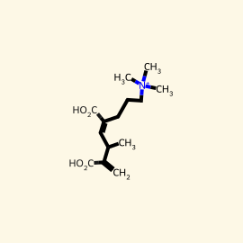 C=C(C(=O)O)C(C)C=C(CCC[N+](C)(C)C)C(=O)O